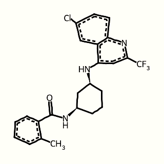 Cc1ccccc1C(=O)N[C@@H]1CCC[C@H](Nc2cc(C(F)(F)F)nc3ccc(Cl)cc23)C1